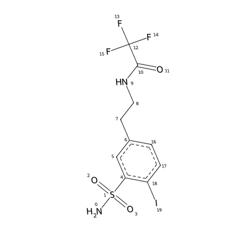 NS(=O)(=O)c1cc(CCNC(=O)C(F)(F)F)ccc1I